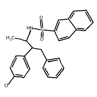 CC(NS(=O)(=O)c1ccc2ccccc2c1)C(Cc1ccccc1)c1ccc(Cl)cc1